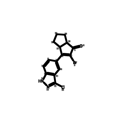 O=C1C(Br)=C(c2ccc3[nH]nc(Cl)c3c2)C2CCCC12